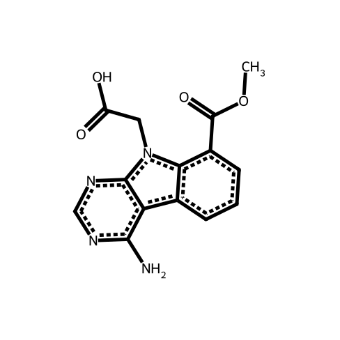 COC(=O)c1cccc2c3c(N)ncnc3n(CC(=O)O)c12